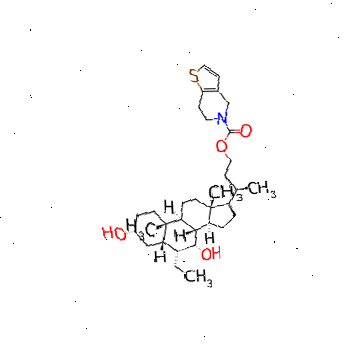 CC[C@H]1[C@@H](O)[C@@H]2[C@H](CC[C@]3(C)[C@@H]([C@H](C)CCOC(=O)N4CCc5sccc5C4)CC[C@@H]23)[C@@]2(C)CC[C@@H](O)C[C@@H]12